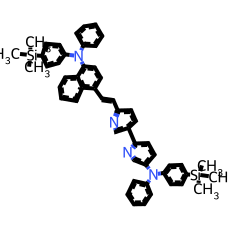 C[Si](C)(C)c1ccc(N(c2ccccc2)c2ccc(-c3ccc(/C=C/c4ccc(N(c5ccccc5)c5ccc([Si](C)(C)C)cc5)c5ccccc45)nc3)nc2)cc1